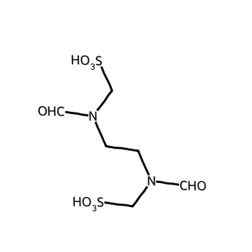 O=CN(CCN(C=O)CS(=O)(=O)O)CS(=O)(=O)O